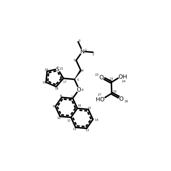 CN(C)CC[C@@H](Oc1cccc2ccccc12)c1cccs1.O=C(O)C(=O)O